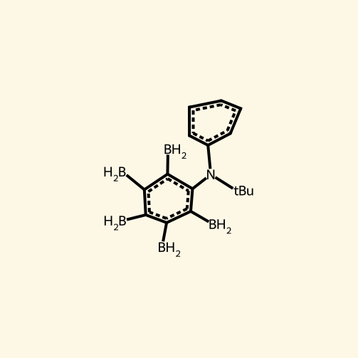 Bc1c(B)c(B)c(N(c2ccccc2)C(C)(C)C)c(B)c1B